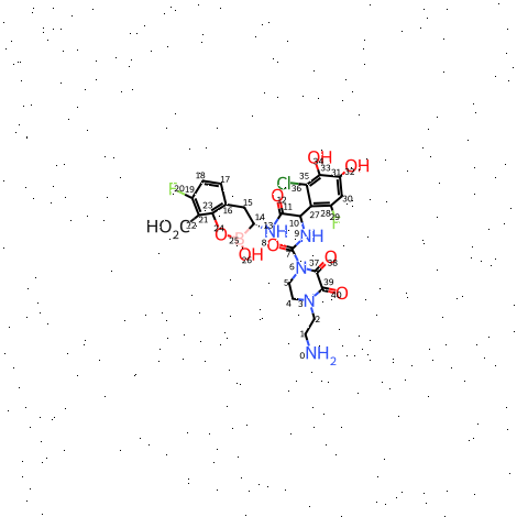 NCCN1CCN(C(=O)NC(C(=O)N[C@H]2Cc3ccc(F)c(C(=O)O)c3OB2O)c2c(F)cc(O)c(O)c2Cl)C(=O)C1=O